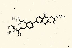 CCCN(CCC)C(=O)C1=Cc2ccc(-c3ccc4c(=O)n(CC(=O)NC)c(C)cc4c3)cc2N=C(N)C1